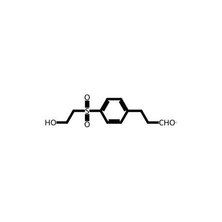 O=[C]CCc1ccc(S(=O)(=O)CCO)cc1